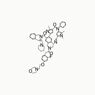 Cc1c(N(C(=O)c2cc(-c3cc4c(cc3C(=O)N3Cc5ccccc5C[C@H]3CN3CCCCC3)CN(C(=O)Cc3ccc(OCCN5CCOCC5)cc3F)CC4)n(C)c2C)c2ccccc2)cc(C#N)n1C